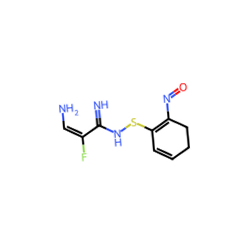 N=C(NSC1=C(N=O)CCC=C1)/C(F)=C\N